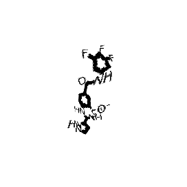 O=C(Nc1cc(F)c(F)c(F)c1)c1ccc2c(c1)[S+]([O-])NC(c1ccn[nH]1)N2